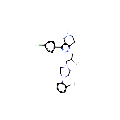 CNC(CN1CCN(c2ccccc2C)CC1)Cn1nc(-c2ccc(Cl)cc2)c2c1CCN(C(C)=O)C2